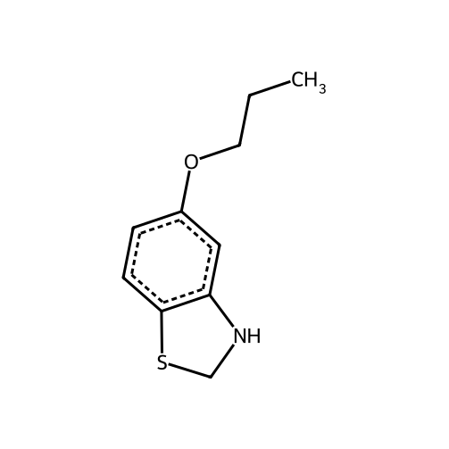 CCCOc1ccc2c(c1)NCS2